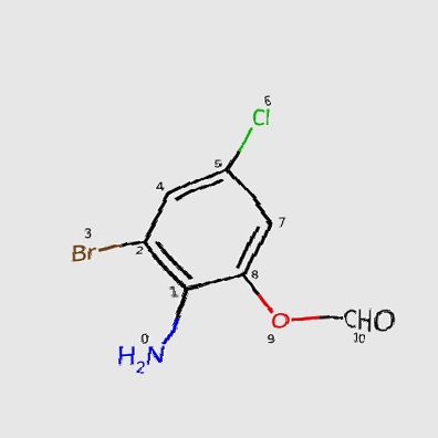 Nc1c(Br)cc(Cl)cc1OC=O